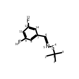 CC(C)(C)SN=Cc1cc(F)cc(F)c1